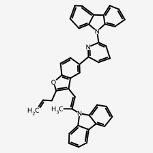 C=CCc1oc2ccc(-c3cccc(-n4c5ccccc5c5ccccc54)n3)cc2c1/C=C(\C)n1c2ccccc2c2ccccc21